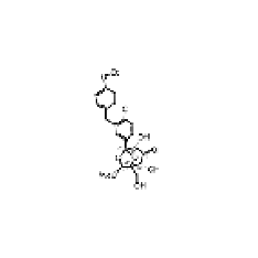 CCOc1ccc(Cc2cc([C@]34O[C@H](OC)[C@](CO)(O3)[C@@H](O)[C@H](O)[C@H]4O)ccc2Cl)cc1